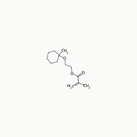 C=C(C)C(=O)OCCOC1(C)CCCCC1